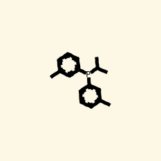 Cc1cccc(P(c2cccc(C)c2)C(C)C)c1